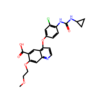 COCCOc1cc2nccc(Oc3ccc(NC(=O)NC4CC4)c(Cl)c3)c2cc1C(=O)O